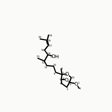 COC12CCC(O1)C(C)(CCCC(C)C(O)CC=C(C)C)OC2